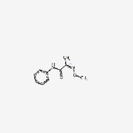 CO/N=C(/C)C(=O)Nc1ccccc1